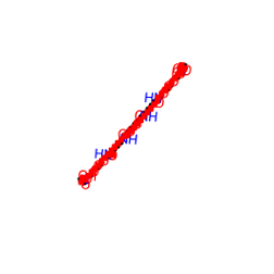 O=C(CCCCCCCNC(=O)CCOCCCOCCC(=O)NCCCCCCCC(=O)NCCOCCOCCOCCC(=O)ON1C(=O)CCC1=O)NCCOCCOCCOCCCON1C(=O)CCC1O